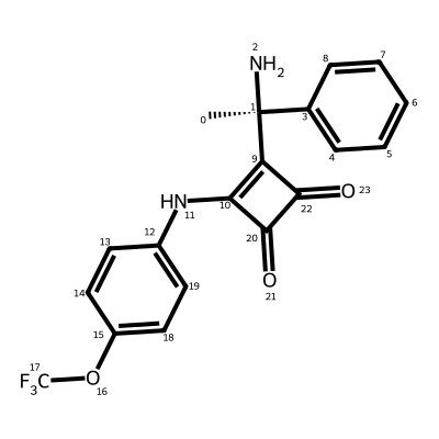 C[C@](N)(c1ccccc1)c1c(Nc2ccc(OC(F)(F)F)cc2)c(=O)c1=O